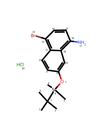 CC(C)(C)[Si](C)(C)Oc1ccc2c(Br)ccc(N)c2c1.Cl